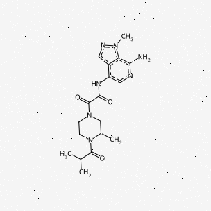 CC(C)C(=O)N1CCN(C(=O)C(=O)Nc2cnc(N)c3c2cnn3C)CC1C